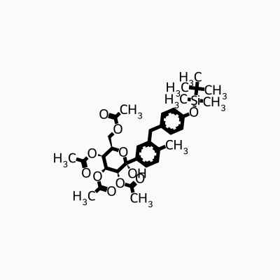 CC(=O)OC[C@H]1O[C@@](O)(c2ccc(C)c(Cc3ccc(O[Si](C)(C)C(C)(C)C)cc3)c2)[C@H](OC(C)=O)[C@@H](OC(C)=O)[C@@H]1OC(C)=O